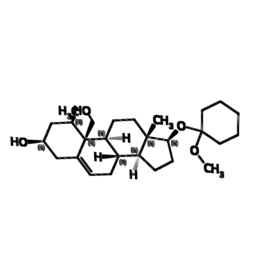 COC1(O[C@H]2CC[C@H]3[C@@H]4CC=C5C[C@@H](O)C[C@@H](C)[C@]5(CO)[C@H]4CC[C@]23C)CCCCC1